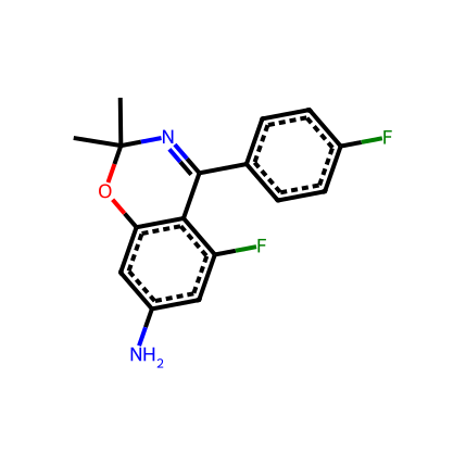 CC1(C)N=C(c2ccc(F)cc2)c2c(F)cc(N)cc2O1